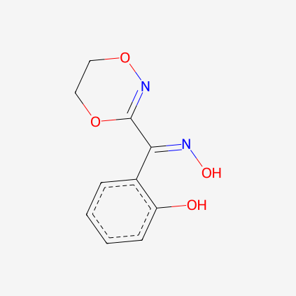 ON=C(C1=NOCCO1)c1ccccc1O